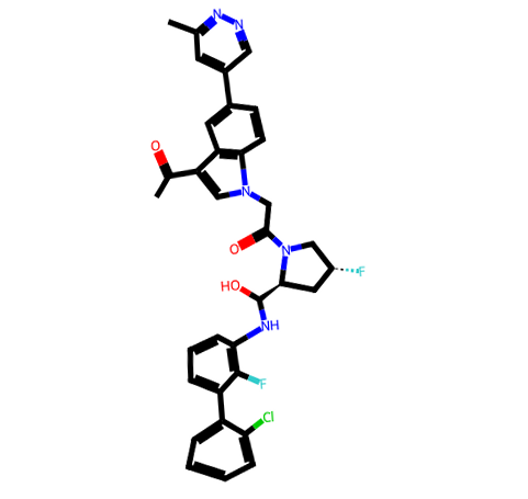 CC(=O)c1cn(CC(=O)N2C[C@H](F)C[C@H]2C(O)Nc2cccc(-c3ccccc3Cl)c2F)c2ccc(-c3cnnc(C)c3)cc12